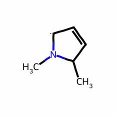 CC1C=C[CH]N1C